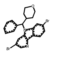 Brc1ccc2c3ncc(Br)cc3n(C(c3ccccc3)C3CCOCC3)c2c1